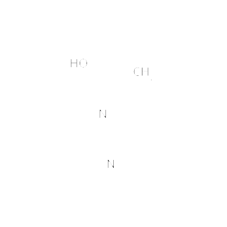 [CH2]C(O)n1ccnc1